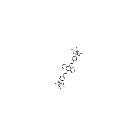 CCO[Si](OCC)(OCC)c1ccc(C=Cc2c3ccccc3c(C=Cc3ccc([Si](OCC)(OCC)OCC)cc3)c3ccccc23)cc1